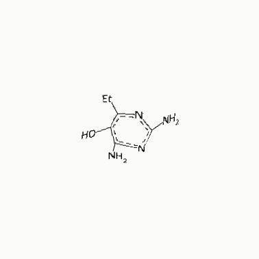 CCc1nc(N)nc(N)c1O